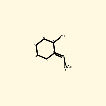 CC(=O)ON=C1CCCCC1Cl